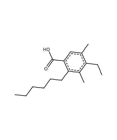 CCCCCCc1c(C(=O)O)cc(C)c(CC)c1C